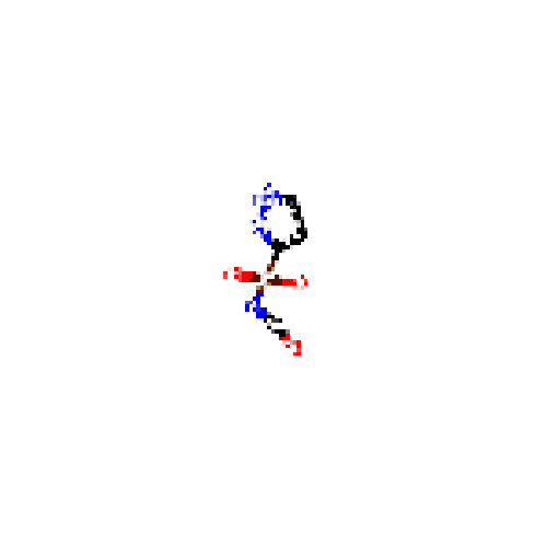 O=C=NS(=O)(=O)c1cc[nH]n1